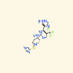 Cn1cnc(SN2CCC(Nc3ncc(C(F)(F)F)c(-c4c[nH]cn4)n3)CC2)c1